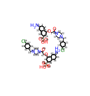 Nc1ccc2c(OCC(=O)N3CCN(Cc4ccc(Cl)cc4)CC3)cc(S(=O)(=O)O)cc2c1.Nc1ccc2cc(S(=O)(=O)O)cc(OCC(=O)N3CCN(Cc4ccc(Cl)cc4)CC3)c2c1